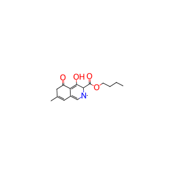 CCCCOC(=O)C1[N]C=C2C=C(C)CC(=O)C2=C1O